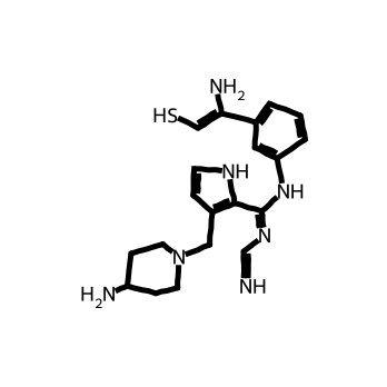 N=C/N=C(/Nc1cccc(/C(N)=C/S)c1)c1[nH]ccc1CN1CCC(N)CC1